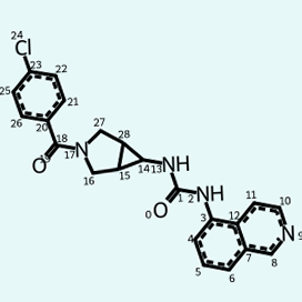 O=C(Nc1cccc2cnccc12)NC1C2CN(C(=O)c3ccc(Cl)cc3)CC21